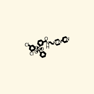 O=C(NCCN1CCN(c2ccncc2)CC1)c1cccc(S(=O)(=O)N(Oc2ccc(Cl)cc2Cl)c2ccccc2)c1